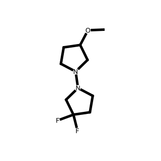 COC1CCN(N2CCC(F)(F)C2)C1